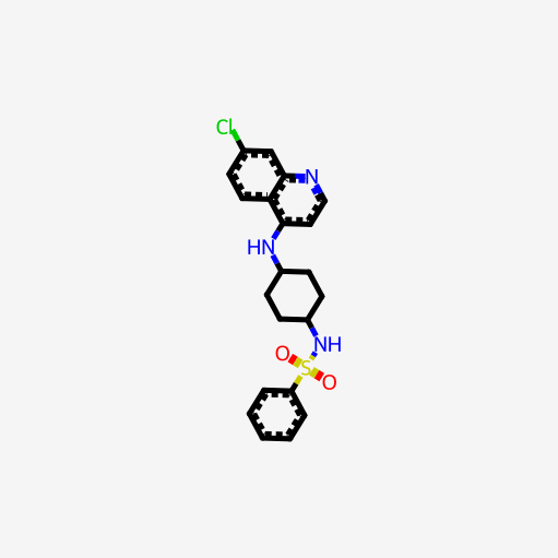 O=S(=O)(NC1CCC(Nc2ccnc3cc(Cl)ccc23)CC1)c1ccccc1